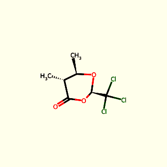 C[C@H]1O[C@@H](C(Cl)(Cl)Cl)OC(=O)[C@@H]1C